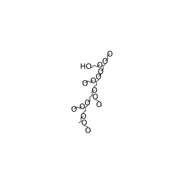 COCCOCC(COCOCC(CCOCC(CCOCC(CCOCC(C)OCCOC)OCCOC)OCCOC)OCCOC)OCCCO